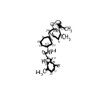 CC(=O)N1[C@H](C)CN(C2CCC[C@@H](NC(=O)C3Cc4c(F)ccc(C)c4N3)C2)C[C@H]1C